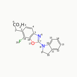 O=C(O)Cc1ccc2nc(N3CCc4ccccc43)oc2c1F